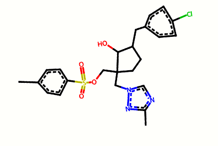 Cc1ccc(S(=O)(=O)OCC2(Cn3cnc(C)n3)CCC(Cc3ccc(Cl)cc3)C2O)cc1